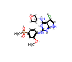 COc1cc(S(C)(=O)=O)ccc1Nc1nc(N[C@@H]2CCOC2)c2c(Cl)c[nH]c2n1